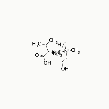 CC(C)C(N)C(=O)O.C[N+](C)(C)CCO